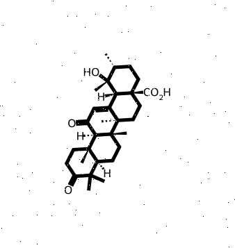 C[C@@H]1CC[C@]2(C(=O)O)CC[C@]3(C)C(=CC(=O)[C@@H]4[C@@]5(C)CCC(=O)C(C)(C)[C@@H]5CC[C@]43C)[C@@H]2[C@]1(C)O